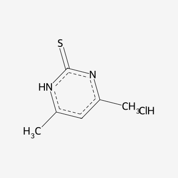 Cc1cc(C)[nH]c(=S)n1.Cl